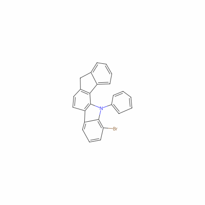 Brc1cccc2c3ccc4c(c3n(-c3ccccc3)c12)-c1ccccc1C4